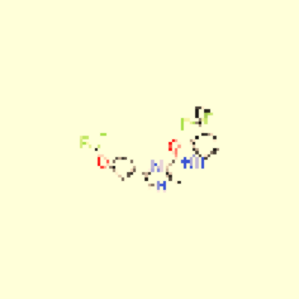 CCC(F)(F)c1cccc(NC(=O)c2nc(-c3ccc(OC(F)F)cc3)cnc2C)c1